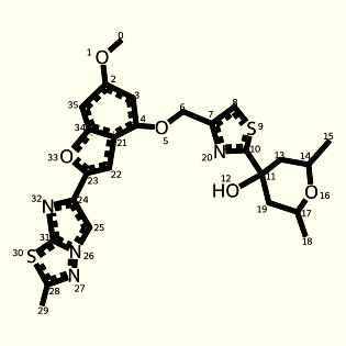 COc1cc(OCc2csc(C3(O)CC(C)OC(C)C3)n2)c2cc(-c3cn4nc(C)sc4n3)oc2c1